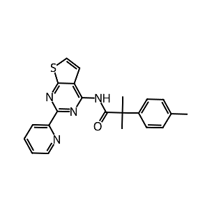 Cc1ccc(C(C)(C)C(=O)Nc2nc(-c3ccccn3)nc3sccc23)cc1